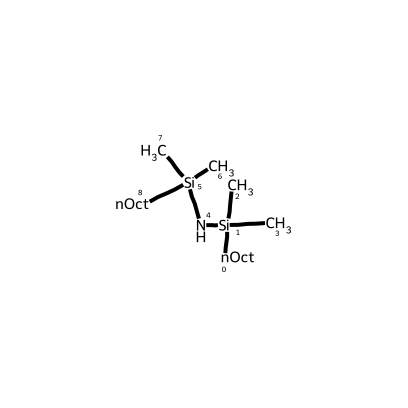 CCCCCCCC[Si](C)(C)N[Si](C)(C)CCCCCCCC